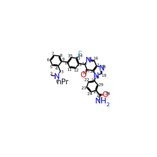 CCCN(C)Cc1ccccc1-c1ccc(C2N=Cc3ncn(-c4cccc(C(N)=O)c4)c3C2=O)c(F)c1